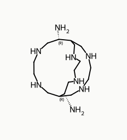 N[C@H]1CNCCNCC2CNCCNCC1CNCCNC[C@@H]2N